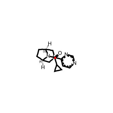 O=C(C1CC1)N1[C@@H]2CC[C@H]1CN(c1ccncn1)C2